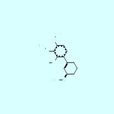 COc1ccc(C2=CC(=NO)CCC2)c(OC)c1OC